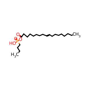 CCCCCCCCC=CCCCCCCCC(=O)OP(=O)(O)CCCC